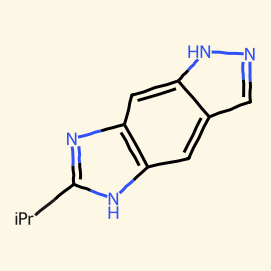 CC(C)c1nc2cc3[nH]ncc3cc2[nH]1